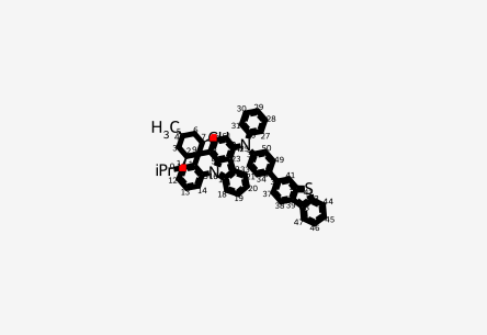 CC(C)C[C@H]1C[C@H](C)C[C@H](C)C12c1ccccc1-n1c3ccccc3c3c(N(c4ccccc4)c4ccc(-c5ccc6c(c5)sc5ccccc56)cc4)ccc2c31